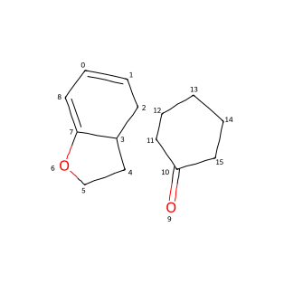 C1=CCC2CCOC2=C1.O=C1CCCCC1